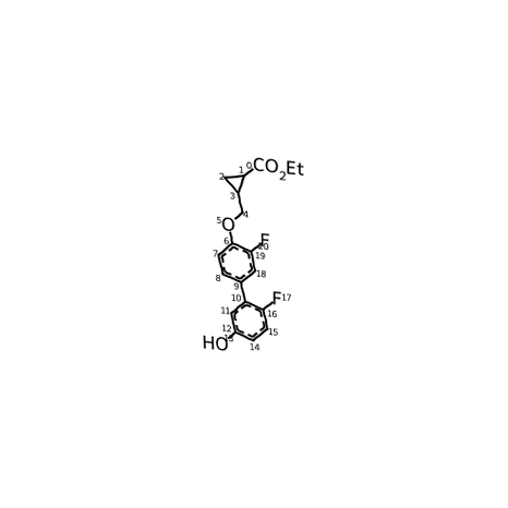 CCOC(=O)C1CC1COc1ccc(-c2cc(O)ccc2F)cc1F